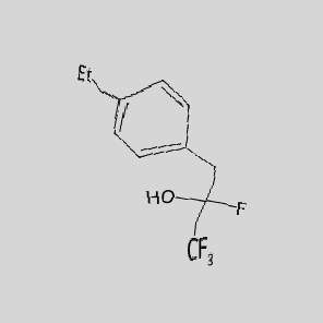 CCc1ccc(CC(O)(F)C(F)(F)F)cc1